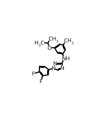 Cc1cc(Nc2ncn(-c3ccc(F)c(F)c3)n2)cc(OC(C)C)c1